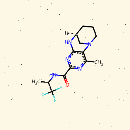 Cc1nc(C(=O)N[C@H](C)C(F)(F)F)nc2c1N1CCC[C@@H](C1)N2